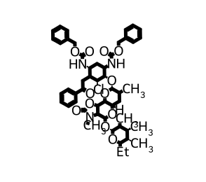 CCC1O[C@H](OC2O[C@H]3CC(C)[C@@H](O[C@@H]4C(NC(=O)OCc5ccccc5)C[C@@H](NC(=O)OCc5ccccc5)C(CC(=O)c5ccccc5)[C@H]4Cl)OC3C3OC(=O)N(C)C23)C(C)[C@@H](C)[C@@H]1C